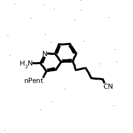 CCCCCc1cc2c(CCCCC#N)cccc2nc1N